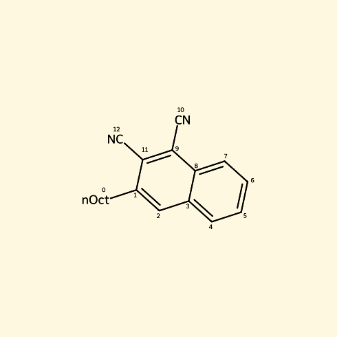 CCCCCCCCc1cc2ccccc2c(C#N)c1C#N